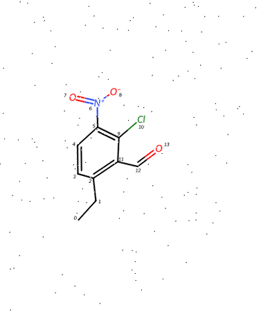 CCc1ccc([N+](=O)[O-])c(Cl)c1C=O